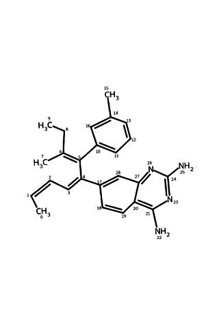 C\C=C/C=C(\C(=C(/C)CC)c1cccc(C)c1)c1ccc2c(N)nc(N)nc2c1